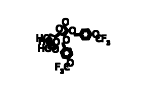 O=C1O[C@H]([C@H](CO)OP(=O)(O)O)C(OCc2ccc(OC(F)(F)F)cc2)=C1OCc1ccc(OC(F)(F)F)cc1